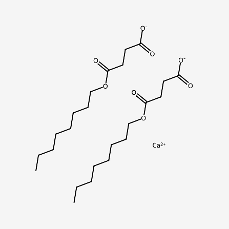 CCCCCCCCOC(=O)CCC(=O)[O-].CCCCCCCCOC(=O)CCC(=O)[O-].[Ca+2]